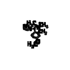 COc1ccc(C(C(C)N(C)C)n2ccnc2)cc1